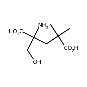 CC(C)(CC(N)(CO)C(=O)O)C(=O)O